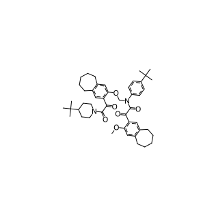 COc1cc2c(cc1C(=O)C(=O)N(COc1cc3c(cc1C(=O)C(=O)N1CCC(C(C)(C)C)CC1)CCCCC3)c1ccc(C(C)(C)C)cc1)CCCCC2